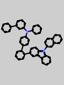 c1ccc(-c2cccc(N(c3ccccc3)c3ccc(-c4ccccc4-c4ccc5c(c4)c4ccccc4n5-c4ccc5ccccc5c4)cc3)c2)cc1